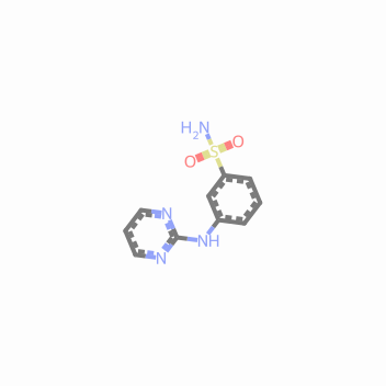 NS(=O)(=O)c1cccc(Nc2ncccn2)c1